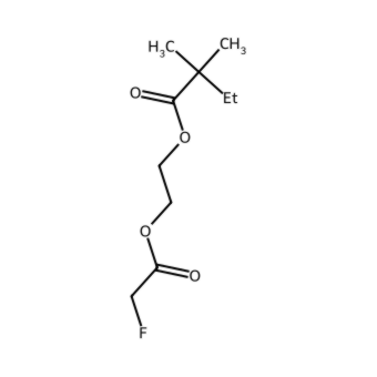 CCC(C)(C)C(=O)OCCOC(=O)CF